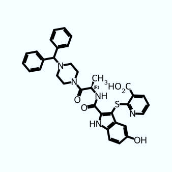 C[C@@H](NC(=O)c1[nH]c2ccc(O)cc2c1Sc1ncccc1C(=O)O)C(=O)N1CCN(C(c2ccccc2)c2ccccc2)CC1